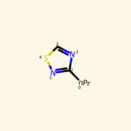 CCCc1ncsn1